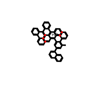 Cc1cc(-c2cccc3ccccc23)cc(-c2c3ccccc3c(-c3ccccc3-c3cc4ccccc4c4ccccc34)c3ccccc23)c1-c1ccccc1O